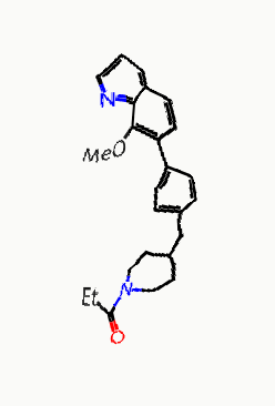 CCC(=O)N1CCC(Cc2ccc(-c3ccc4cccnc4c3OC)cc2)CC1